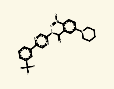 O=C(Nc1cnc(-c2cccc(C(F)(F)F)c2)cn1)c1cc(N2CCCCC2)ccc1[N+](=O)[O-]